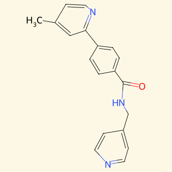 Cc1ccnc(-c2ccc(C(=O)NCc3ccncc3)cc2)c1